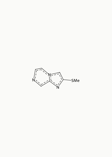 CSc1cn2ccncc2n1